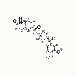 COc1ccc(C(=O)N2CCN(CC(=O)c3ccc4c(c3)CCC(=O)N4)CC2)cc1OC